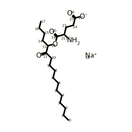 CCCCCCCCCCCC(=O)C(CCCC)OC(=O)C(N)CCC(=O)[O-].[Na+]